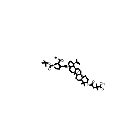 C=C(C)[C@@H]1CC[C@]2(C#CC3=C(C(=O)O)CN(C(=O)OC(C)(C)C)CC3)CC[C@]3(C)C(CCC4[C@@]5(C)CC[C@H](OC(=O)CC(C)(C)C(=O)O)C(C)(C)C5CC[C@]43C)C12